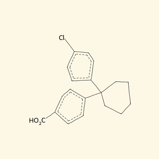 O=C(O)c1ccc(C2(c3ccc(Cl)cc3)CCCCC2)cc1